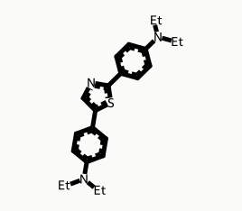 CCN(CC)c1ccc(-c2cnc(-c3ccc(N(CC)CC)cc3)s2)cc1